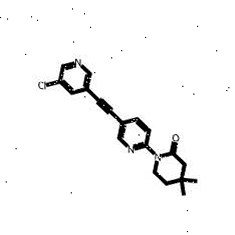 CC1(C)CCN(c2ccc(C#Cc3cncc(Cl)c3)cn2)C(=O)C1